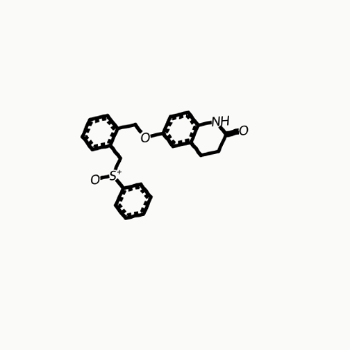 O=C1CCc2cc(OCc3ccccc3C[S+]([O-])c3ccccc3)ccc2N1